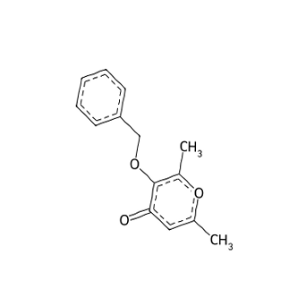 Cc1cc(=O)c(OCc2ccccc2)c(C)o1